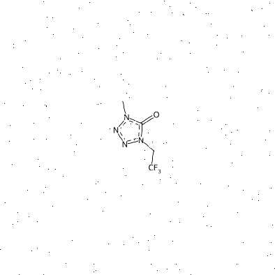 Cn1nnn(CC(F)(F)F)c1=O